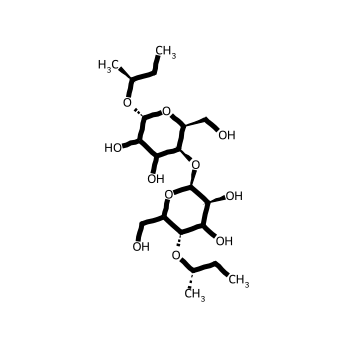 CC[C@H](C)O[C@@H]1O[C@@H](CO)[C@@H](O[C@@H]2OC(CO)[C@@H](O[C@@H](C)CC)C(O)[C@@H]2O)C(O)C1O